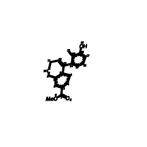 COC(=O)c1ccc2c(c1)CCCC=C2c1cccc(O)c1C